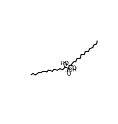 CCCCCCCCCCCCCC(=O)C(O)C(O)([C]=O)C(=O)CCCCCCCCCCCCC